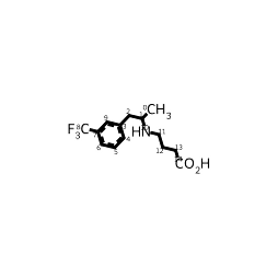 CC(Cc1cccc(C(F)(F)F)c1)NCCCC(=O)O